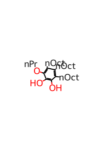 CCCCCCCCc1c(O)c(O)c(OCCC)c(CCCCCCCC)c1CCCCCCCC